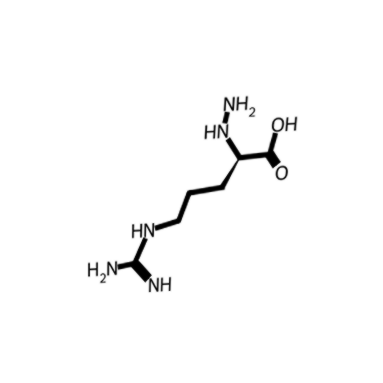 N=C(N)NCCC[C@@H](NN)C(=O)O